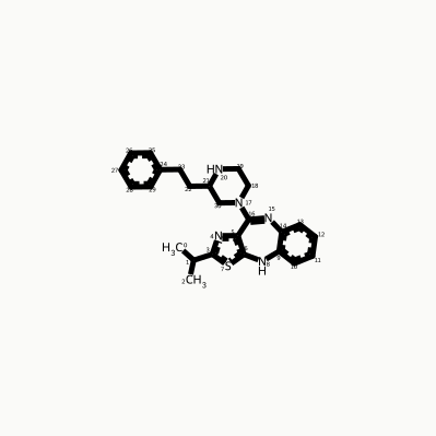 CC(C)c1nc2c(s1)Nc1ccccc1N=C2N1CCNC(CCc2ccccc2)C1